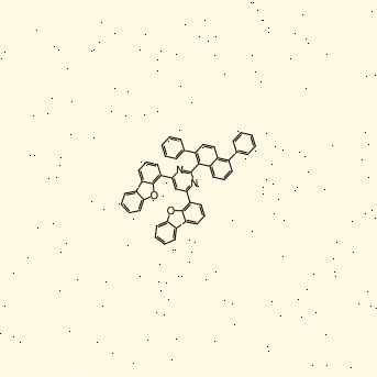 c1ccc(-c2ccc3c(-c4ccccc4)cccc3c2-c2nc(-c3cccc4c3oc3ccccc34)cc(-c3cccc4c3oc3ccccc34)n2)cc1